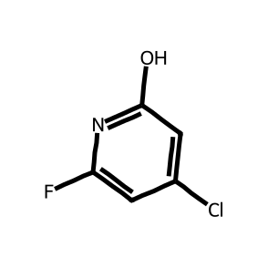 Oc1cc(Cl)cc(F)n1